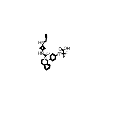 C#CCNC12CC(NC(=O)N3CCc4ccccc4[C@@H]3c3ccc(F)cc3)(C1)C2.O=C(O)C(F)(F)F